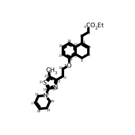 CCOC(=O)CCC1=CCCc2c(OCCc3nc(N4CC=CCC4)sc3C)cccc21